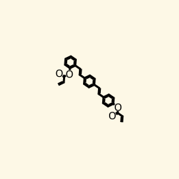 C=CC(=O)Oc1ccc(/C=C/c2ccc(/C=C/c3ccccc3OC(=O)C=C)cc2)cc1